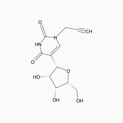 C#CCn1cc([C@@H]2O[C@H](CO)[C@H](O)[C@@H]2O)c(=O)[nH]c1=O